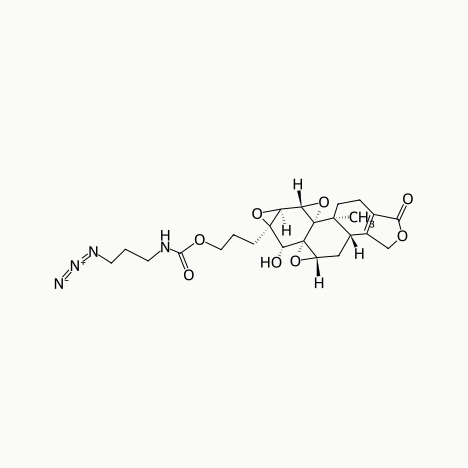 C[C@]12CCC3=C(COC3=O)[C@@H]1C[C@@H]1O[C@@]13[C@H](O)[C@@]1(CCCOC(=O)NCCCN=[N+]=[N-])O[C@H]1[C@@H]1O[C@@]132